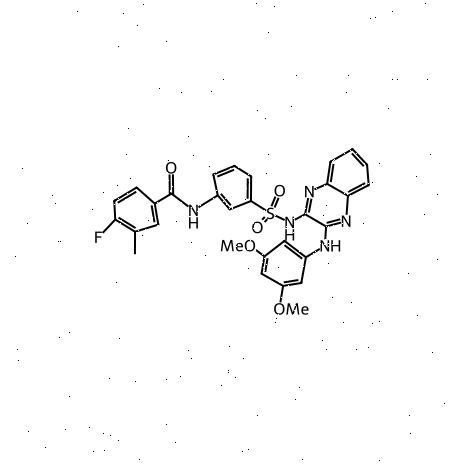 COc1cc(Nc2nc3ccccc3nc2NS(=O)(=O)c2cccc(NC(=O)c3ccc(F)c(C)c3)c2)cc(OC)c1